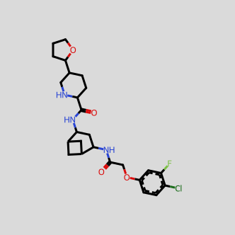 O=C(COc1ccc(Cl)c(F)c1)NC1CC(NC(=O)C2CCC(C3CCCO3)CN2)C2CC1C2